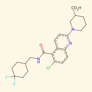 O=C(NCC1CCC(F)(F)CC1)c1c(Cl)ccc2nc(N3CCCC(C(=O)O)C3)ccc12